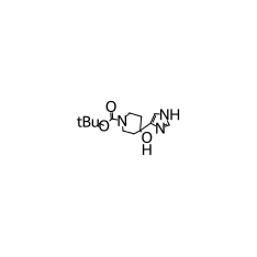 CC(C)(C)OC(=O)N1CCC(O)(c2c[nH]cn2)CC1